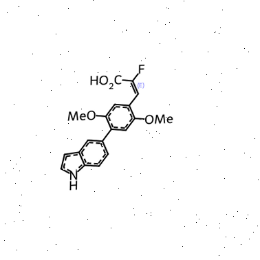 COc1cc(-c2ccc3[nH]ccc3c2)c(OC)cc1/C=C(/F)C(=O)O